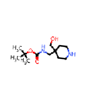 CC(C)(C)OC(=O)NCC1(CO)CCNCC1